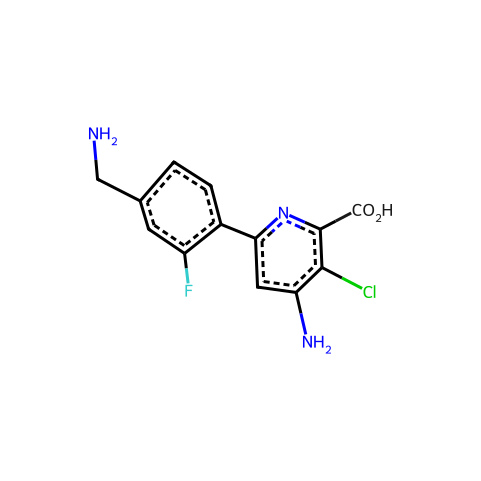 NCc1ccc(-c2cc(N)c(Cl)c(C(=O)O)n2)c(F)c1